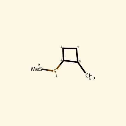 CSSC1CCC1C